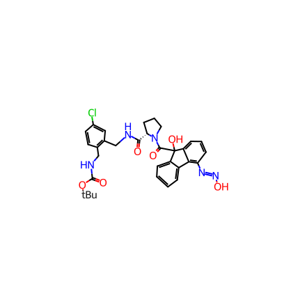 CC(C)(C)OC(=O)NCc1ccc(Cl)cc1CNC(=O)[C@@H]1CCCN1C(=O)C1(O)c2ccccc2-c2c(/N=N/O)cccc21